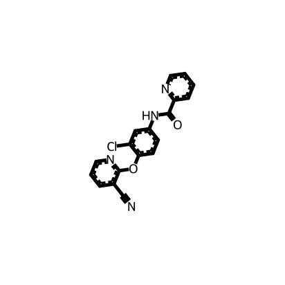 N#Cc1cccnc1Oc1ccc(NC(=O)c2ccccn2)cc1Cl